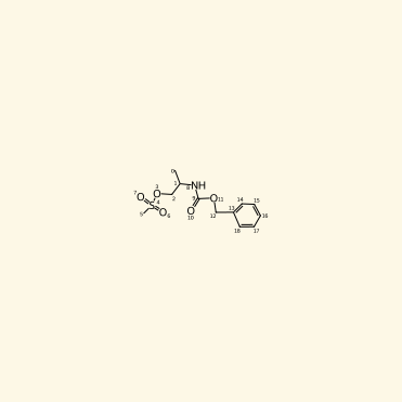 CC(COS(C)(=O)=O)NC(=O)OCc1ccccc1